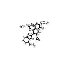 Cl.NC1CCCc2sc(-c3c(C4CC4)cc4c(=O)c(C(=O)O)c[nH]c4c3OC(F)F)cc21